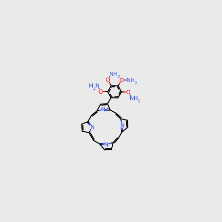 NOc1cc(C2=CC3=CC4=NC(=CC5=NC(=CC6=NC(=CC2=N3)C=C6)C=C5)C=C4)c(ON)c(ON)c1ON